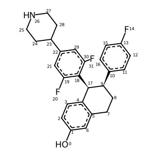 Oc1ccc2c(c1)CC[C@H](c1ccc(F)cc1)[C@@H]2c1c(F)cc(C2CCNCC2)cc1F